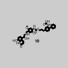 COc1cc(NC(=O)OCCCc2ccc(-c3ccccc3)c(NC(=O)O)c2)c(Cl)cc1CNC[C@H](O)c1ccc(O)c2[nH]c(=O)ccc12.F.F